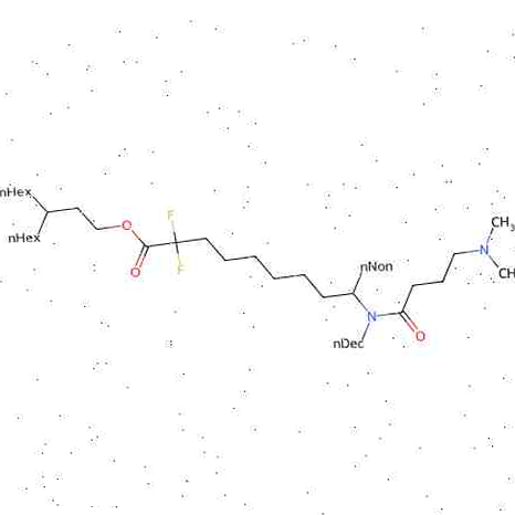 CCCCCCCCCCN(C(=O)CCCN(C)C)C(CCCCCCCCC)CCCCCCC(F)(F)C(=O)OCCC(CCCCCC)CCCCCC